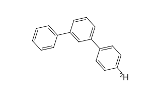 [2H]c1ccc(-c2cccc(-c3ccccc3)c2)cc1